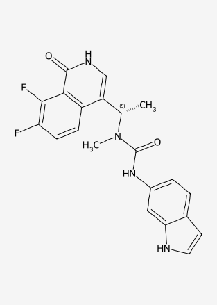 C[C@@H](c1c[nH]c(=O)c2c(F)c(F)ccc12)N(C)C(=O)Nc1ccc2cc[nH]c2c1